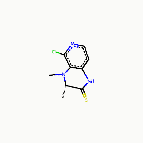 C[C@H]1C(=S)Nc2ccnc(Cl)c2N1C